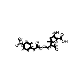 CC12CC(S)=C(C(=O)O)N1C(=O)C2COOC(=O)Cc1ccc([N+](=O)[O-])cc1